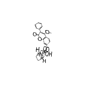 COc1c(-c2ccccc2)c(=O)oc2cc(O[C@@H]3C[C@H]4CC[C@@H](C3)N4C(=O)O)ccc12